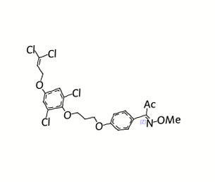 CO/N=C(\C(C)=O)c1ccc(OCCCOc2c(Cl)cc(OCC=C(Cl)Cl)cc2Cl)cc1